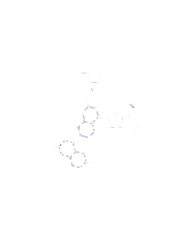 CCc1c(F)ccc2cc(O)cc(-c3ncc4c(N5C[C@@H]6OCCN(C(=O)OC(C)(C)C)[C@@H]6C5)nc(OC[C@@]56CCCN5C[C@H](F)C6)nc4c3F)c12